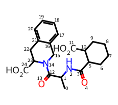 CC(NC(=O)C1CCCCC1C(=O)O)C(=O)N1Cc2ccccc2CC1C(=O)O